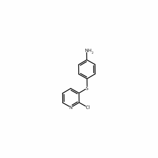 Nc1ccc(Sc2cccnc2Cl)cc1